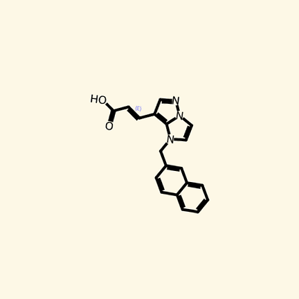 O=C(O)/C=C/c1cnn2ccn(Cc3ccc4ccccc4c3)c12